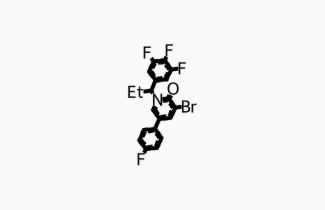 CCC(c1cc(F)c(F)c(F)c1)n1cc(-c2ccc(F)cc2)cc(Br)c1=O